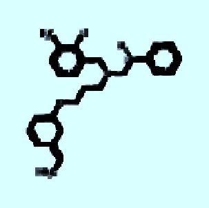 CC[C@@H](CN(CCCOC1=CC=CC(=CC(=O)O)C1)Cc1cccc(C(F)(F)F)c1Cl)c1ccccc1